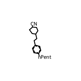 CCCCCc1ccc(CCC2CCC(C#N)CC2)cc1